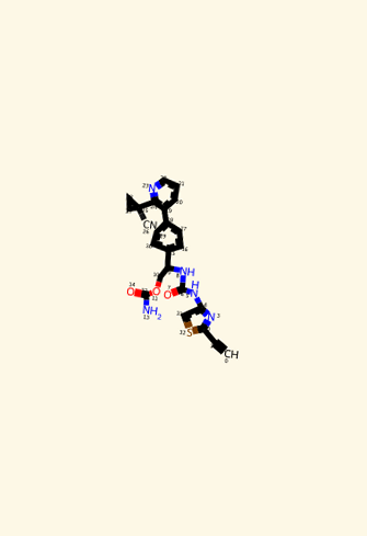 C#Cc1nc(NC(=O)NC(COC(N)=O)c2ccc(-c3cccnc3C3(C#N)CC3)cc2)cs1